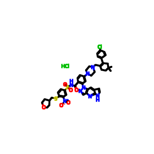 CC1(C)CCC(CN2CCN(c3ccc(C(=O)NS(=O)(=O)c4ccc(SCC5CCOCC5)c([N+](=O)[O-])c4)c(-n4ncc5nc6[nH]ccc6cc54)c3)CC2)=C(c2ccc(Cl)cc2)C1.Cl